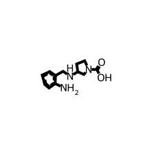 Nc1ccccc1CNC1CCN(C(=O)O)C1